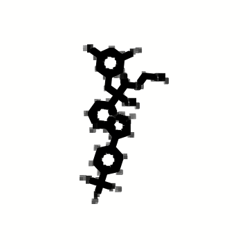 CCOC(=O)C(C)(Cc1cc(F)cc(F)c1)c1ccnc2c(-c3ccc(C(F)(F)F)cc3)cnn12